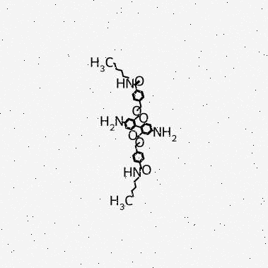 CCCCCCNC(=O)c1ccc(COC(=O)c2cc(N)ccc2-c2ccc(N)cc2C(=O)OCc2ccc(C(=O)NCCCCCC)cc2)cc1